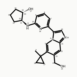 CC1(c2cn3c(-c4cccc(N[C@H]5CCC[C@@H]5O)n4)cnc3cc2CO)CC1